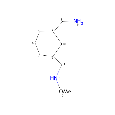 CONCC1CCCC(CN)C1